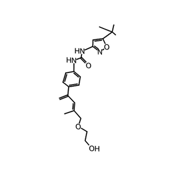 C=C(/C=C(\C)COCCO)c1ccc(NC(=O)Nc2cc(C(C)(C)C)on2)cc1